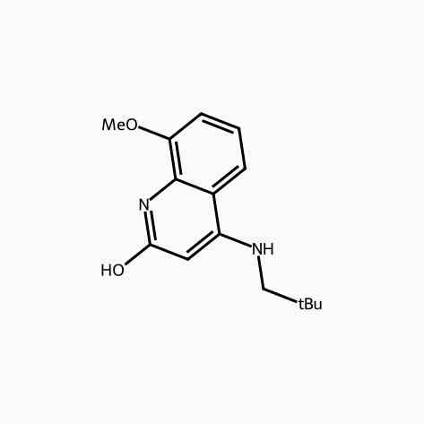 COc1cccc2c(NCC(C)(C)C)cc(O)nc12